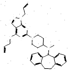 C=CCNc1nc(N2CCC(N(C)C3c4ccccc4CCc4ccccc43)CC2)nc2c1cnn2CC=C